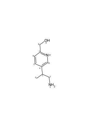 CC(CN)c1ccc(CO)nc1